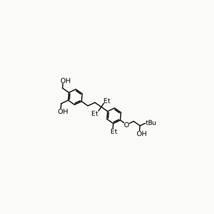 CCc1cc(C(CC)(CC)CCc2ccc(CO)c(CO)c2)ccc1OCC(O)C(C)(C)C